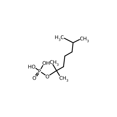 CC(C)CCCC(C)(C)OP(=O)(O)O